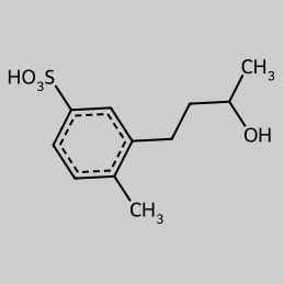 Cc1ccc(S(=O)(=O)O)cc1CCC(C)O